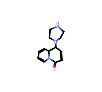 O=C1C=CC(N2CCNCC2)C2C=CC=CN12